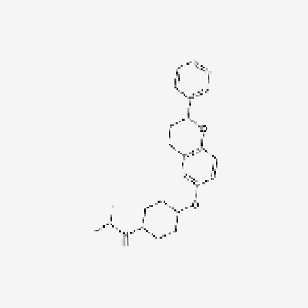 CC(C)NC1CCC(Oc2ccc3c(c2)CCC(c2ccccc2)O3)CC1